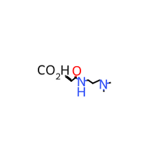 CN(C)CCCNC(=O)/C=C\C(=O)O